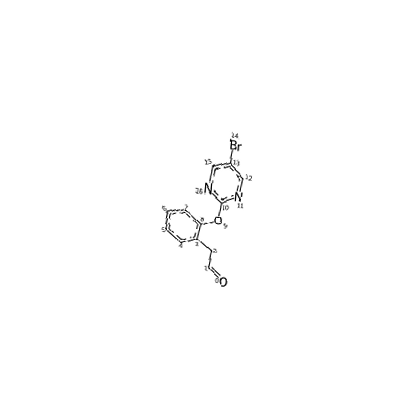 O=CCc1ccccc1Oc1ncc(Br)cn1